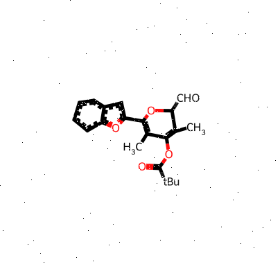 CC1=C(c2cc3ccccc3o2)OC(C=O)C(C)=C1OC(=O)C(C)(C)C